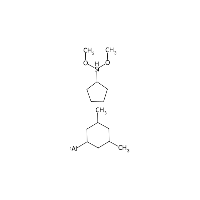 CC1CC(C)C[CH]([Al])C1.CO[SiH](OC)C1CCCC1